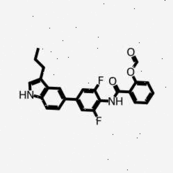 CCCc1c[nH]c2ccc(-c3cc(F)c(NC(=O)c4ccccc4OC=O)c(F)c3)cc12